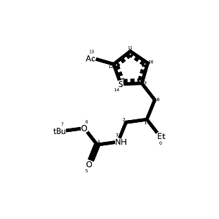 CCC(CNC(=O)OC(C)(C)C)Cc1ccc(C(C)=O)s1